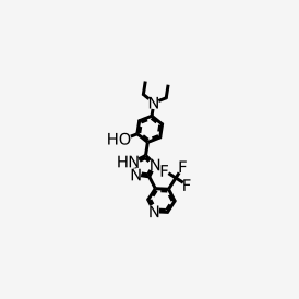 CCN(CC)c1ccc(-c2nc(-c3cnccc3C(F)(F)F)n[nH]2)c(O)c1